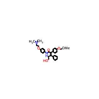 COCOc1ccc(/C(C(=O)Nc2ccc(OCCN(C)C)cc2)=C(/CCO)c2ccccc2)cc1